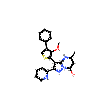 COc1c(-c2ccccc2)csc1-c1c(-c2ccccn2)nn2c(O)cc(C)nc12